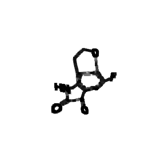 O=C1Nc2c(cc(F)c3c2CCO3)C1=O